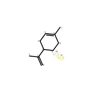 C=C(C)C1CC=C(C)CC1.S.S